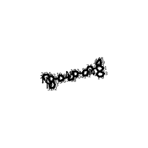 c1ccc2c(-c3ccc4cc(-c5ccc6nc(-c7ccc(-c8cc9cccnc9c9ncccc89)cc7)ccc6c5)ccc4n3)c3ccccc3cc2c1